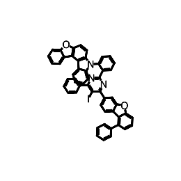 Ic1c(-c2ccccc2)nc(-c2ccccc2-n2c3ccccc3c3c4c(ccc32)oc2ccccc24)nc1-c1ccc2c(c1)oc1cccc(-c3ccccc3)c12